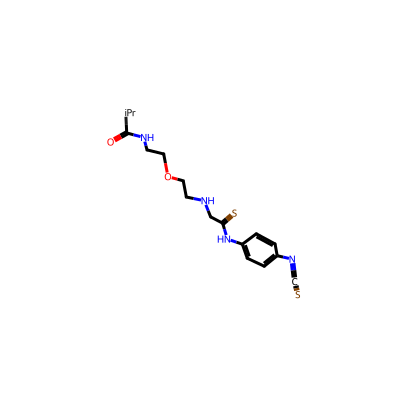 CC(C)C(=O)NCCOCCNCC(=S)Nc1ccc(N=C=S)cc1